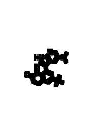 CN(C)c1cnc2[nH]cc(-c3cc(C(C)(C)C)cc4c3NC(=O)CC4)c2c1